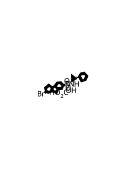 O=C(O)O.O=S(=O)(N[C@@H]1C[C@H]1c1ccccc1)c1ccc2c(c1)Cc1cc(Br)ccc1-2